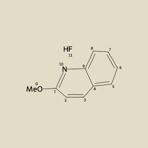 COc1ccc2ccccc2n1.F